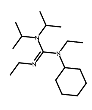 CCN=C(N(CC)C1CCCCC1)N(C(C)C)C(C)C